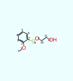 COc1ccccc1SOCCO